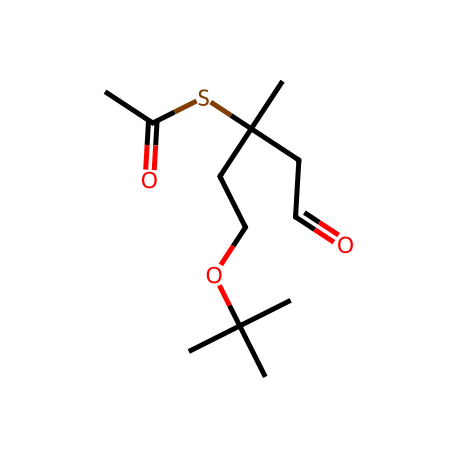 CC(=O)SC(C)(CC=O)CCOC(C)(C)C